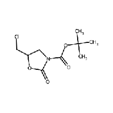 CC(C)(C)OC(=O)N1CC(CCl)OC1=O